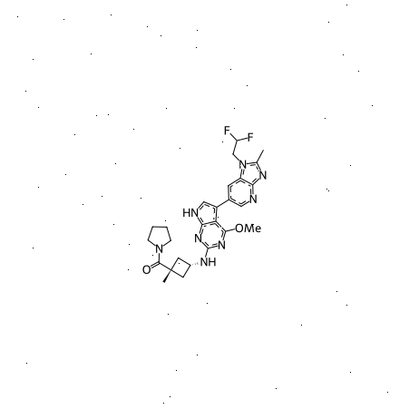 COc1nc(N[C@H]2C[C@@](C)(C(=O)N3CCCC3)C2)nc2[nH]cc(-c3cnc4nc(C)n(CC(F)F)c4c3)c12